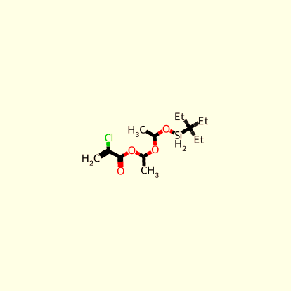 C=C(Cl)C(=O)OC(C)OC(C)O[SiH2]C(CC)(CC)CC